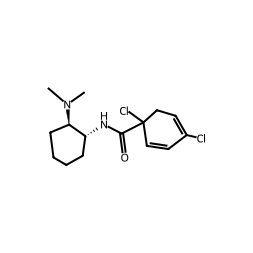 CN(C)[C@@H]1CCCC[C@H]1NC(=O)C1(Cl)C=CC(Cl)=CC1